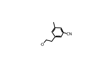 Cc1cc(C#N)cc(CC[O])c1